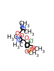 COCc1c(S(C)(=O)=O)ccc(C(=O)c2c(C)nn(C)c2OC(=O)c2cn(C)nc2C)c1Cl